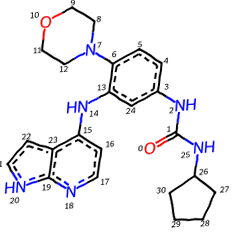 O=C(Nc1ccc(N2CCOCC2)c(Nc2ccnc3[nH]ccc23)c1)NC1CCCC1